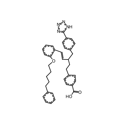 O=C(O)c1ccc(CCC(C=Cc2ccccc2OCCCCCc2ccccc2)Cc2ccc(-c3nnn[nH]3)cc2)cc1